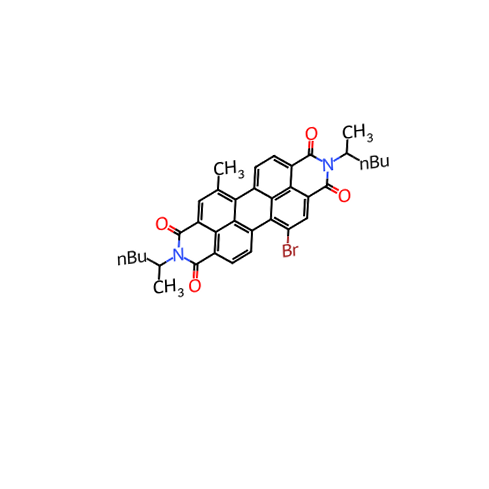 CCCCC(C)N1C(=O)c2ccc3c4c(Br)cc5c6c(ccc(c7c(C)cc(c2c37)C1=O)c64)C(=O)N(C(C)CCCC)C5=O